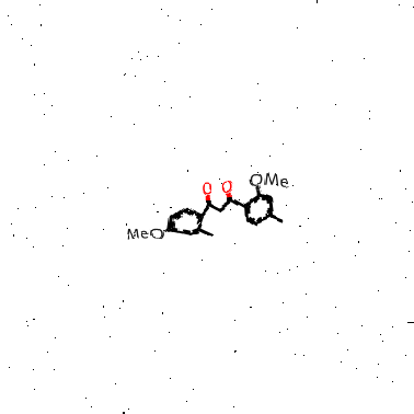 COc1ccc(C(=O)CC(=O)c2ccc(C)cc2OC)c(C)c1